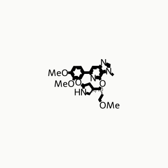 COCC[C@@H](Oc1nc(-c2ccc(OC)c(OC)c2)cc2ncn(C)c12)[C@H]1CNC(=O)C1